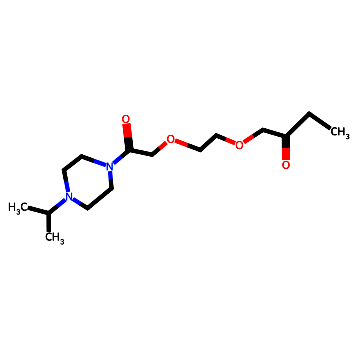 CCC(=O)COCCOCC(=O)N1CCN(C(C)C)CC1